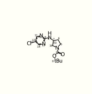 CC(C)(C)OC(=O)N1CC[C@H](Nc2ncc(Cl)cn2)C1